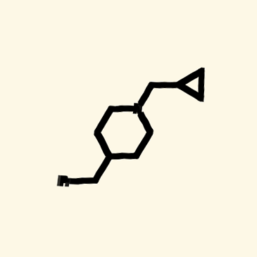 CC(C)CC1CCN(CC2CC2)CC1